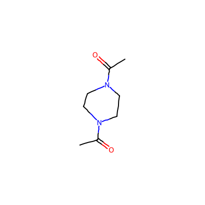 CC(=O)N1CCN(C(C)=O)CC1